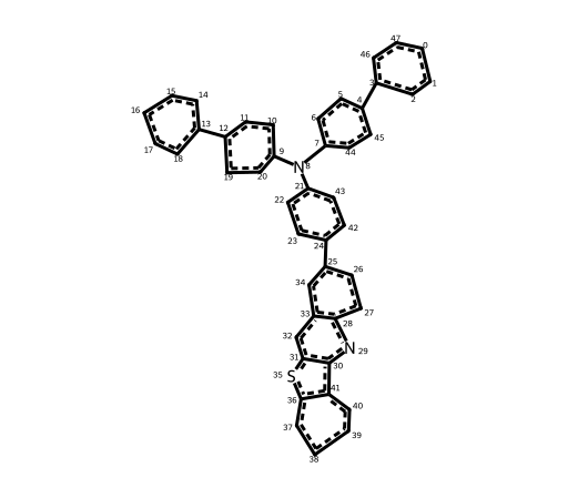 c1ccc(-c2ccc(N(c3ccc(-c4ccccc4)cc3)c3ccc(-c4ccc5nc6c(cc5c4)sc4ccccc46)cc3)cc2)cc1